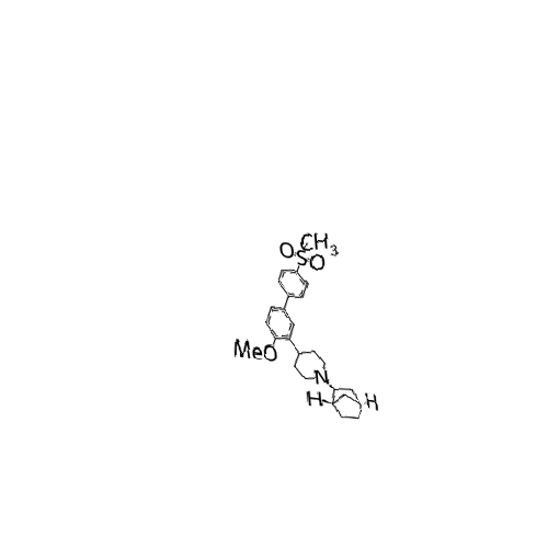 COc1ccc(-c2ccc(S(C)(=O)=O)cc2)cc1C1CCN([C@H]2C[C@H]3CC[C@H]2C3)CC1